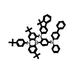 CC(C)(C)c1ccc(N2c3ccc(C(C)(C)C)cc3B3c4ccc(N(c5ccccc5)c5ccc(-c6ccccc6)cc5)cc4N(c4ccc5c(c4)C(C)(C)c4ccccc4-5)c4cc(C(C)(C)C)cc2c43)cc1